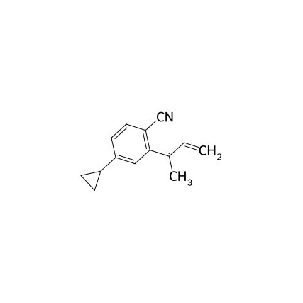 C=C[C](C)c1cc(C2CC2)ccc1C#N